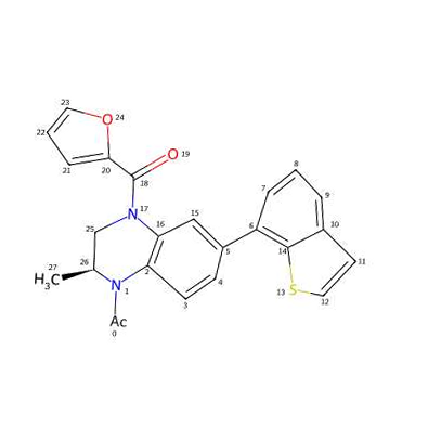 CC(=O)N1c2ccc(-c3cccc4ccsc34)cc2N(C(=O)c2ccco2)C[C@@H]1C